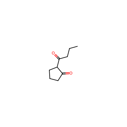 CCCC(=O)C1CCCC1=O